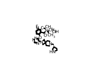 CC(C)N(C(=O)c1cc(F)ccc1Oc1nncnc1N1CC2(CCN(C[C@@H]3CCNC3)CC2)C1)C(C)C.Cl